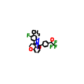 Cc1ccc([C@@]2(NC(=O)c3ccc(C(=O)C(F)(F)F)cc3)CCOc3cccnc32)cc1F